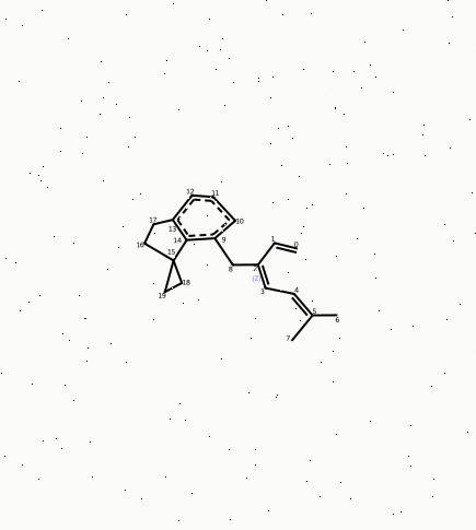 C=C/C(=C\C=C(C)C)Cc1cccc2c1C1(CC2)CC1